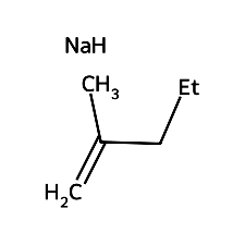 C=C(C)CCC.[NaH]